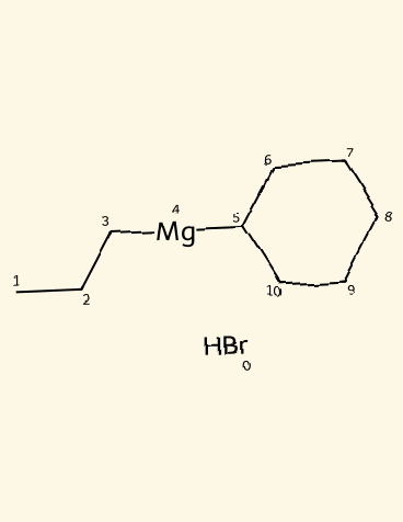 Br.CC[CH2][Mg][CH]1CCCCC1